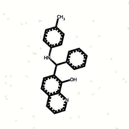 Cc1ccc(NC(c2ccccc2)c2ccc3cccnc3c2O)cc1